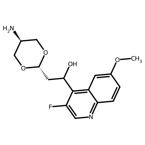 COc1ccc2ncc(F)c(C(O)C[C@H]3OC[C@H](N)CO3)c2c1